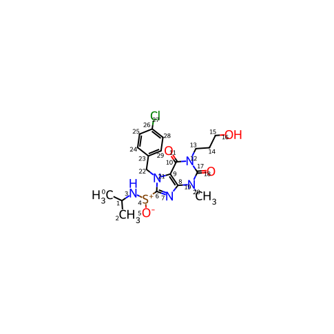 CC(C)N[S+]([O-])c1nc2c(c(=O)n(CCCO)c(=O)n2C)n1Cc1ccc(Cl)cc1